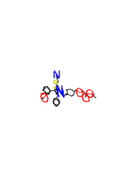 COc1cccc(-c2c(SCC#N)nn(CC3CCC(COCC(=O)OC(C)(C)C)CC3)c2-c2ccccc2)c1